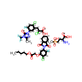 CCCCCOC(=O)COc1cc(N2C(=O)C3=C(CCCC3)C2=O)c(F)cc1Cl.CP(=O)(O)CCC(N)C(=O)O.Cc1nn(-c2cc(CC(Cl)C(=O)O)c(Cl)cc2F)c(=O)n1C(F)F